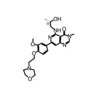 COc1cc(-c2cc3ncn(C)c(=O)c3c(NC[C@H](C)O)n2)ccc1OCCN1CCOCC1